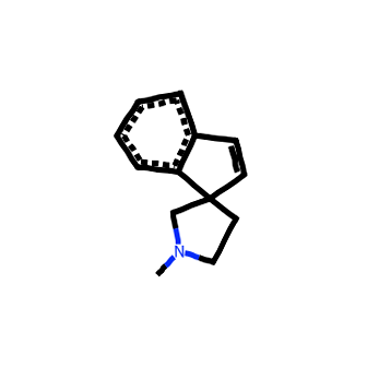 CN1CCC2(C=Cc3ccccc32)C1